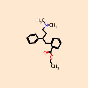 CCOC(=O)c1ccccc1CC(CCN(C)C)c1ccccc1